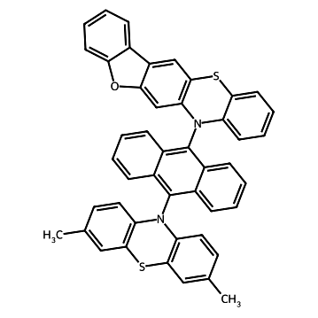 Cc1ccc2c(c1)Sc1cc(C)ccc1N2c1c2ccccc2c(N2c3ccccc3Sc3cc4c(cc32)oc2ccccc24)c2ccccc12